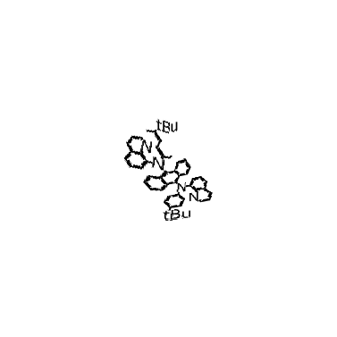 C/C(=C\C=C(/C)C(C)(C)C)N(c1c2ccccc2c(N(c2ccc(C(C)(C)C)cc2)c2cccc3cccnc23)c2ccccc12)c1cccc2cccnc12